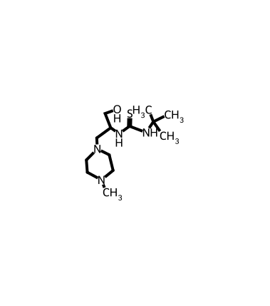 CN1CCN(CC(CO)NC(=S)NC(C)(C)C)CC1